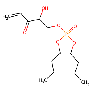 C=CC(=O)C(O)COP(=O)(OCCCC)OCCCC